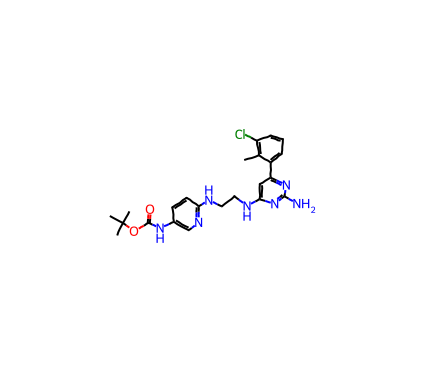 Cc1c(Cl)cccc1-c1cc(NCCNc2ccc(NC(=O)OC(C)(C)C)cn2)nc(N)n1